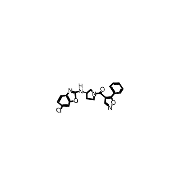 O=C(c1cnoc1-c1ccccc1)N1CC[C@@H](Nc2nc3ccc(Cl)cc3o2)C1